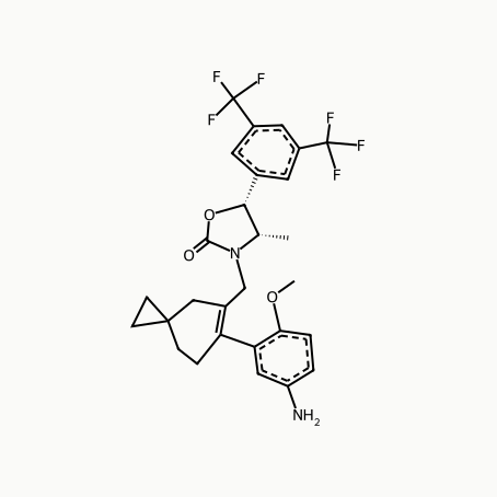 COc1ccc(N)cc1C1=C(CN2C(=O)O[C@H](c3cc(C(F)(F)F)cc(C(F)(F)F)c3)[C@@H]2C)CC2(CC1)CC2